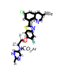 CNc1cnc2c(-c3nc4cc(F)c(O[C@@H](C)[C@@H](C)N(C(=O)O)c5cnc(C)nc5)cc4s3)cc(Cl)cc2c1